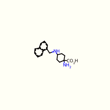 NC1(C(=O)O)CCC(NCc2cccc3ccccc23)CC1